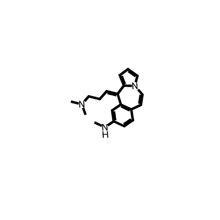 CNc1ccc2c(c1)/C(=C\CCN(C)C)c1cccn1C=C2